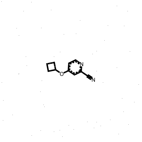 N#Cc1cc(OC2CCC2)ccn1